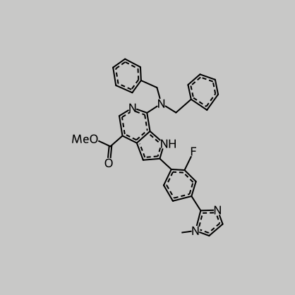 COC(=O)c1cnc(N(Cc2ccccc2)Cc2ccccc2)c2[nH]c(-c3ccc(-c4nccn4C)cc3F)cc12